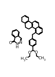 CCOC(OCC)c1ccc(Cc2cccc3ccc4c(c23)CCC2=C4C=CCC2)cc1.O=c1[nH]ncc2ccccc12